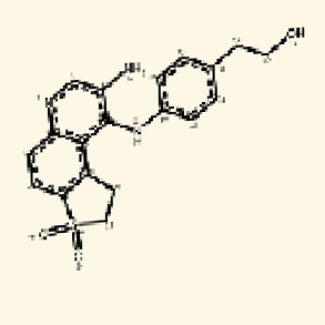 Nc1cnc2ccc3c(c2c1Nc1ccc(CCO)cc1)CCS3(=O)=O